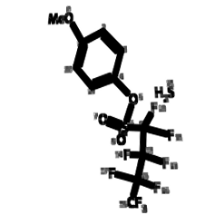 COc1ccc(OS(=O)(=O)C(F)(F)C(F)(F)C(F)(F)C(F)(F)F)cc1.S